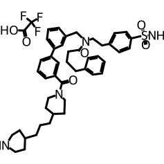 NS(=O)(=O)c1ccc(CCN(Cc2cccc(-c3cccc(C(=O)N4CCC(CCCC5CCNCC5)CC4)c3)c2)C(=O)CCCc2ccccc2)cc1.O=C(O)C(F)(F)F